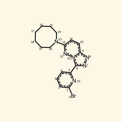 Brc1cccc(-c2nnc3ccc(N4CCCCCCC4)nn23)n1